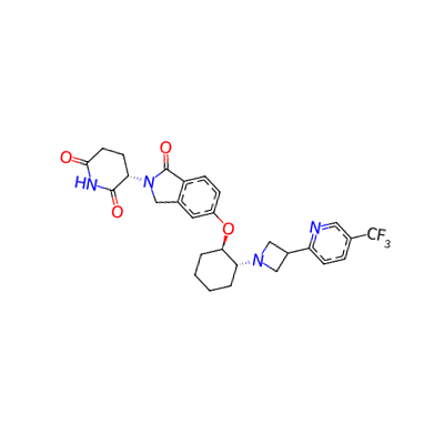 O=C1CC[C@H](N2Cc3cc(O[C@@H]4CCCC[C@H]4N4CC(c5ccc(C(F)(F)F)cn5)C4)ccc3C2=O)C(=O)N1